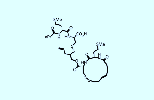 C=CCC(COC(=O)[C@H]1CSSCC/C=C/CCC(=O)N[C@H](CCSC)C(=O)N1)SSC[C@@H](NC(=O)[C@@H](CCSC)NC(=O)CCC)C(=O)O